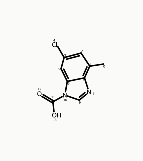 Cc1cc(Cl)cc2c1ncn2C(=O)O